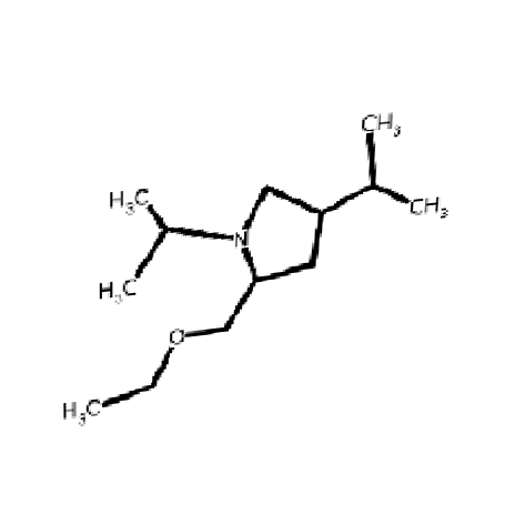 CCOCC1CC(C(C)C)CN1C(C)C